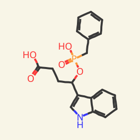 O=C(O)CCC(OP(=O)(O)Cc1ccccc1)c1c[nH]c2ccccc12